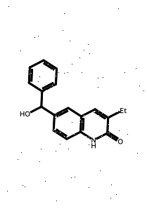 CCc1cc2cc(C(O)c3ccccc3)ccc2[nH]c1=O